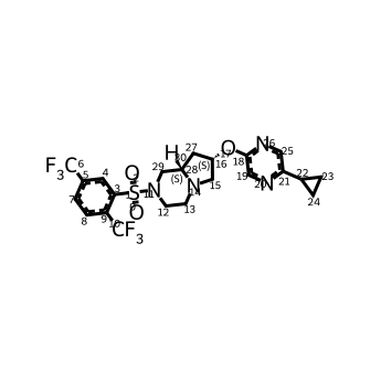 O=S(=O)(c1cc(C(F)(F)F)ccc1C(F)(F)F)N1CCN2C[C@@H](Oc3cnc(C4CC4)cn3)C[C@H]2C1